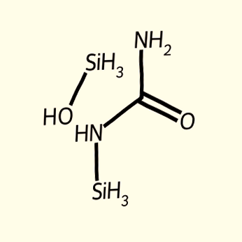 NC(=O)N[SiH3].O[SiH3]